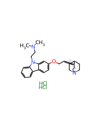 CN(C)CCn1c2ccccc2c2ccc(OC/C=C3\CN4CCC3CC4)cc21.Cl.Cl